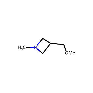 COCC1CN(C)C1